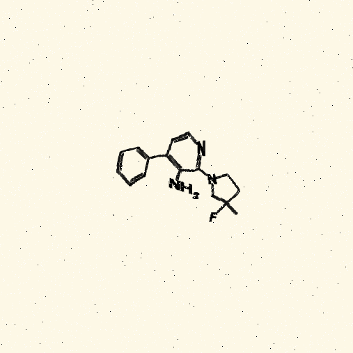 CC1(F)CCN(c2nccc(-c3ccccc3)c2N)C1